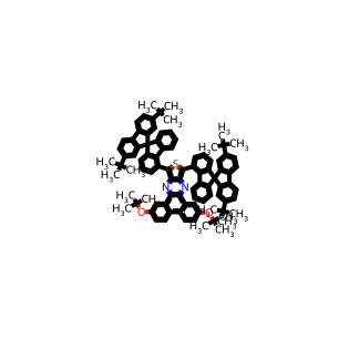 CC(C)(C)Oc1ccc2c3ccc(OC(C)(C)C)cc3c3nc4c(-c5cccc6c5-c5ccccc5C65c6cc(C(C)(C)C)ccc6-c6ccc(C(C)(C)C)cc65)sc(-c5cccc6c5-c5ccccc5C65c6cc(C(C)(C)C)ccc6-c6ccc(C(C)(C)C)cc65)c4nc3c2c1